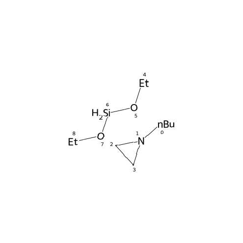 CCCCN1CC1.CCO[SiH2]OCC